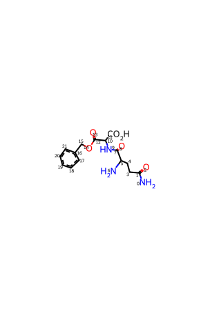 NC(=O)CCC(N)C(=O)NC(C(=O)O)C(=O)OCc1ccccc1